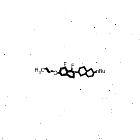 CC=CCOc1cc(F)c2c(F)c(C3CCC4CC(CCCC)CCC4C3)ccc2c1